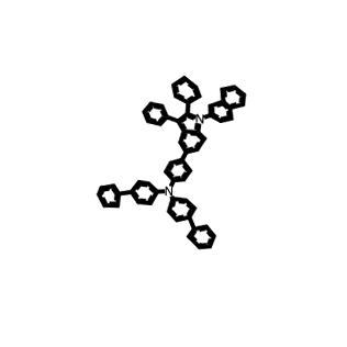 c1ccc(-c2ccc(N(c3ccc(-c4ccccc4)cc3)c3ccc(-c4ccc5c(c4)c(-c4ccccc4)c(-c4ccccc4)n5-c4ccc5ccccc5c4)cc3)cc2)cc1